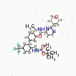 C[C@@H](NC(=O)c1ccnc(C2=CCOCC2)n1)c1ccc(-c2cc(C(F)(F)F)ccc2CNC(=O)OC(C)(C)C)cc1